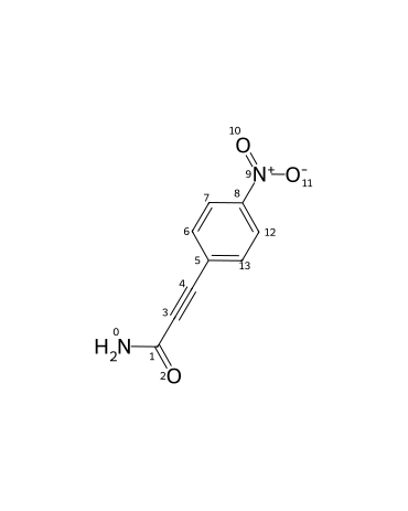 NC(=O)C#Cc1ccc([N+](=O)[O-])cc1